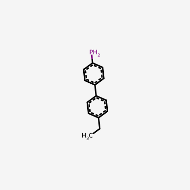 CCc1ccc(-c2ccc(P)cc2)cc1